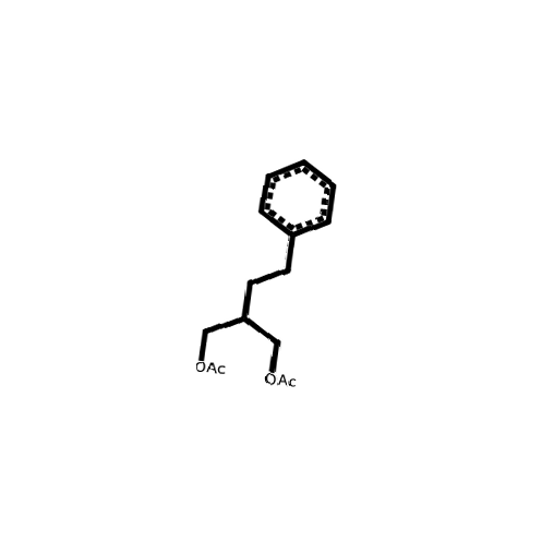 CC(=O)OCC(CCc1ccccc1)COC(C)=O